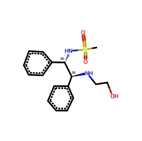 CS(=O)(=O)N[C@@H](c1ccccc1)[C@@H](NCCO)c1ccccc1